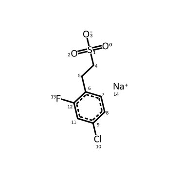 O=S(=O)([O-])CCc1ccc(Cl)cc1F.[Na+]